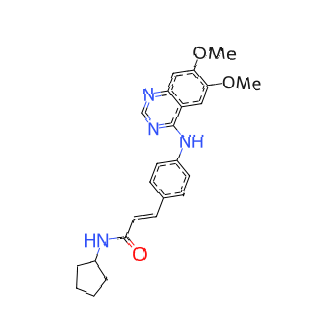 COc1cc2ncnc(Nc3ccc(C=CC(=O)NC4CCCC4)cc3)c2cc1OC